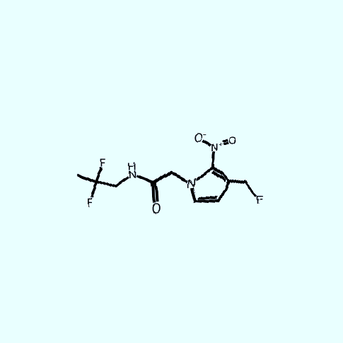 CC(F)(F)CNC(=O)Cn1ccc(CF)c1[N+](=O)[O-]